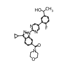 CC(O)c1ccc(F)c(-c2cnc(-n3nc(C4CC4)c4ccc(C(=O)N5CCOCC5)cc43)nc2)c1